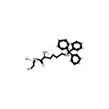 CC(=O)[C@@H](CC(C)C)NC(=O)[C@@H](N)CCCCNC(c1ccccc1)(c1ccccc1)c1ccccc1